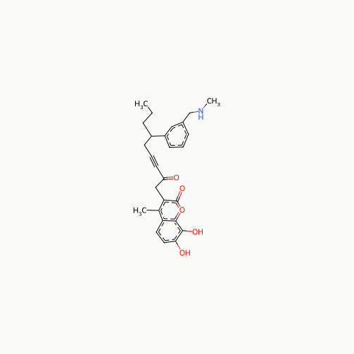 CCCC(CC#CC(=O)Cc1c(C)c2ccc(O)c(O)c2oc1=O)c1cccc(CNC)c1